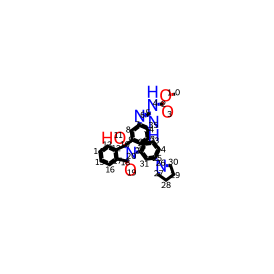 COC(=O)Nc1nc2cc(C3(O)c4ccccc4C(=O)N3c3cccc(N4CCCC4)c3)ccc2[nH]1